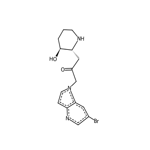 O=C(C[C@H]1NCCC[C@@H]1O)Cn1ccc2ncc(Br)cc21